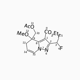 CCOC(=O)c1c(C(F)F)nn2c1C(COC(C)=O)(OC)CC=C2